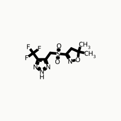 CC1(C)CC(S(=O)(=O)Cc2n[nH]nc2C(F)(F)F)=NO1